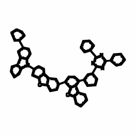 c1ccc(-c2ccc3c(c2)c2ccccc2n3-c2ccc3c(c2)oc2ccc(-c4ccc(-c5cccc(-c6nc(-c7ccccc7)nc(-c7ccccc7)n6)c5)c5c4oc4ccccc45)cc23)cc1